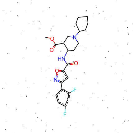 COC(=O)C1CN(C2CCCCC2)CCC1NC(=O)c1cc(-c2ccc(F)cc2F)no1